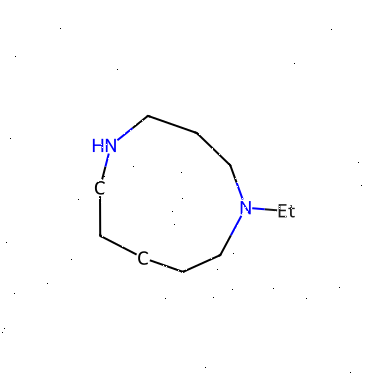 CCN1CCCCCNCCC1